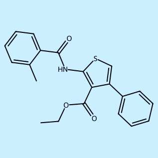 CCOC(=O)c1c(-c2ccccc2)csc1NC(=O)c1ccccc1C